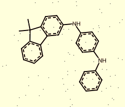 CC1(C)c2ccccc2-c2cc(Nc3ccc(Nc4ccccc4)cc3)ccc21